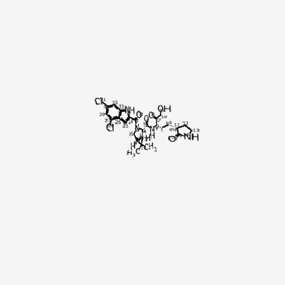 CC1(C)[C@@H]2[C@@H](C(=O)N[C@@H](CC[C@@H]3CCNC3=O)C(=O)CO)N(C(=O)c3cc4c(Cl)cc(Cl)cc4[nH]3)C[C@@H]21